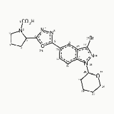 O=C(O)N1CCCC1c1nnc(-c2ccc3c(c2)c(Br)nn3C2CCCCO2)o1